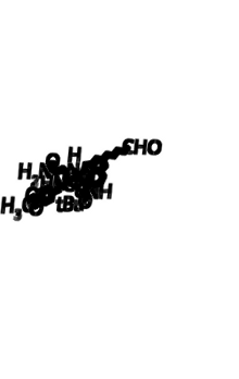 CC(C)(C)OC(=O)N[C@H]1CCc2cc(CCCCC=O)cc3c2N(C1=O)[C@H](C(=O)NC(CCC(N)=O)C(=O)NCc1ccc(S(C)(=O)=O)cc1)C3